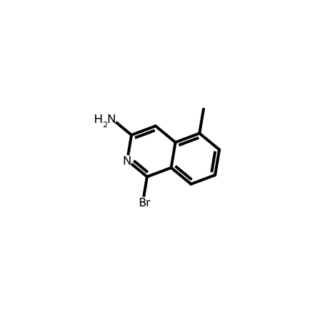 Cc1cccc2c(Br)nc(N)cc12